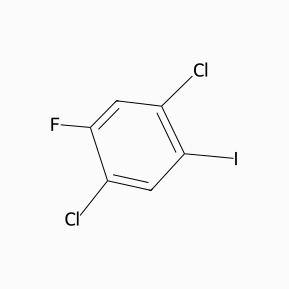 Fc1cc(Cl)c(I)cc1Cl